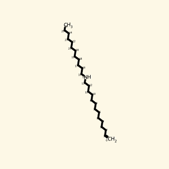 C=CCCCCCCCCCCCCNCCCCCCCCCCCC